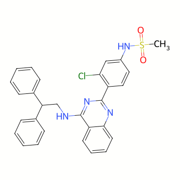 CS(=O)(=O)Nc1ccc(-c2nc(NCC(c3ccccc3)c3ccccc3)c3ccccc3n2)c(Cl)c1